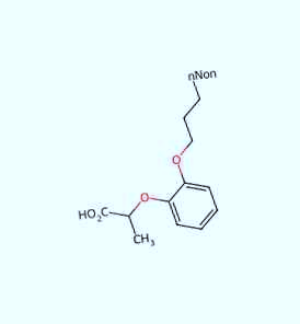 CCCCCCCCCCCCOc1ccccc1OC(C)C(=O)O